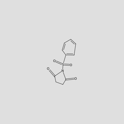 O=C1CCC(=O)N1S(=O)(=O)c1ccccc1